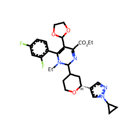 CCOC(=O)C1=NC(C2CCO[C@@H](c3cnn(C4CC4)c3)C2)N(CC)C(c2ccc(F)cc2F)=C1C1OCCO1